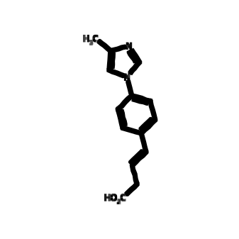 Cc1cn(-c2ccc(/C=C/CC(=O)O)cc2)cn1